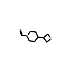 O=CN1CCC(C2COC2)CC1